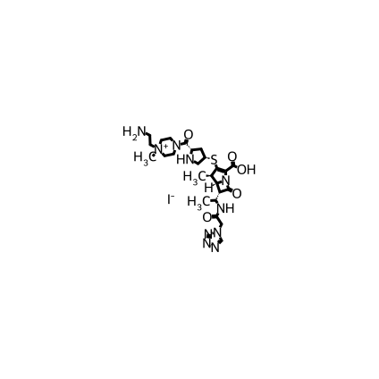 CC(NC(=O)Cn1cnnn1)[C@H]1C(=O)N2C(C(=O)O)=C(S[C@@H]3CN[C@H](C(=O)N4CC[N+](C)(CCN)CC4)C3)[C@H](C)[C@H]12.[I-]